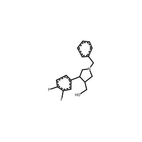 OCC1CN(Cc2ccccc2)CC1c1ccc(F)c(F)c1